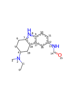 CCN(C)C1CCc2[nH]c3ccc(NC=O)cc3c2C1